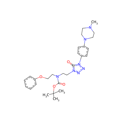 CN1CCN(c2ccc(-n3nnn(CCN(CCOc4ccccc4)C(=O)OC(C)(C)C)c3=O)cc2)CC1